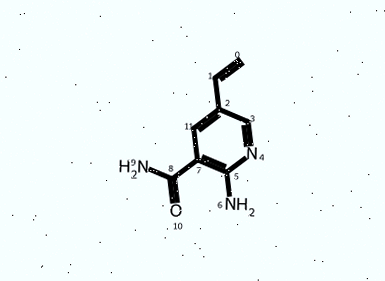 C=Cc1cnc(N)c(C(N)=O)c1